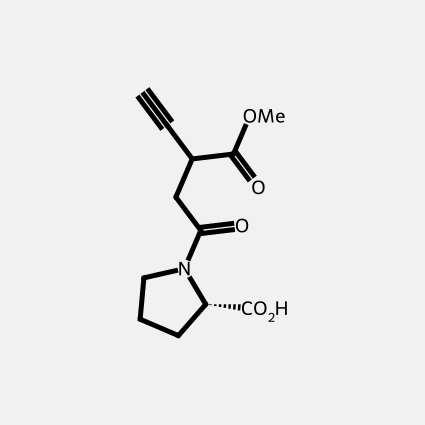 C#CC(CC(=O)N1CCC[C@H]1C(=O)O)C(=O)OC